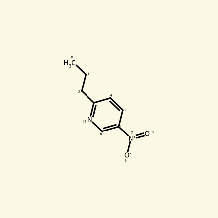 CCCc1ccc([N+](=O)[O-])cn1